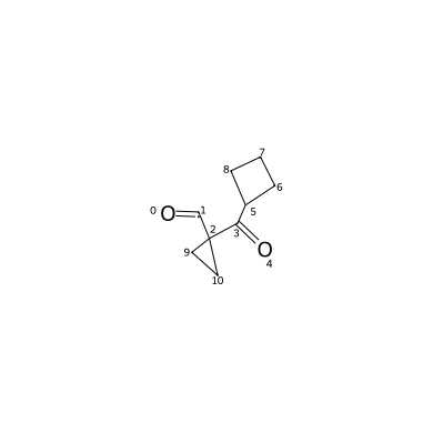 O=[C]C1(C(=O)C2CCC2)CC1